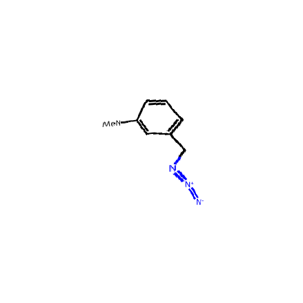 CNc1cccc(CN=[N+]=[N-])c1